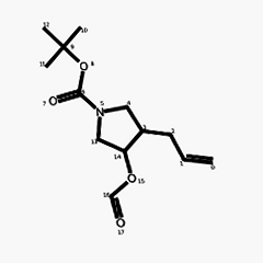 C=CCC1CN(C(=O)OC(C)(C)C)CC1OC=O